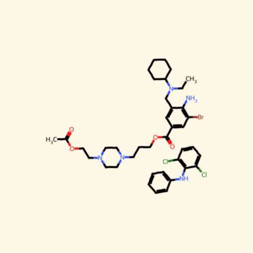 CCN(Cc1cc(C(=O)OCCCN2CCN(CCOC(C)=O)CC2)cc(Br)c1N)C1CCCCC1.Clc1cccc(Cl)c1Nc1ccccc1